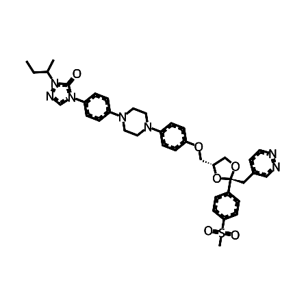 CCC(C)n1ncn(-c2ccc(N3CCN(c4ccc(OC[C@@H]5CO[C@](Cc6ccnnc6)(c6ccc(S(C)(=O)=O)cc6)O5)cc4)CC3)cc2)c1=O